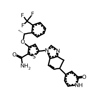 C[C@@H](Oc1cc(-n2cnc3c2C=CC(c2cc[nH]c(=O)c2)C3)sc1C(N)=O)c1ccccc1C(F)(F)F